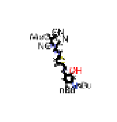 CCCCN(CCCC)c1ccc(/C=C/c2ccc(/C=C/C(C)=C(\C#N)C(OC)=C(C#N)C#N)s2)c(O)c1